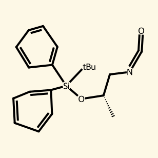 C[C@@H](CN=C=O)O[Si](c1ccccc1)(c1ccccc1)C(C)(C)C